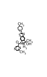 Cc1cncc(C(=O)Nc2cc3sc(N4CCC(C)CC4)nc3cc2C(C)(C)O)n1